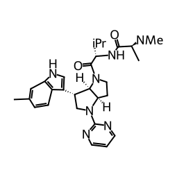 CN[C@@H](C)C(=O)N[C@H](C(=O)N1CC[C@@H]2[C@H]1[C@@H](c1c[nH]c3cc(C)ccc13)CN2c1ncccn1)C(C)C